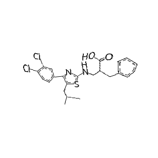 CC(C)Cc1sc(NCC(Cc2ccccc2)C(=O)O)nc1-c1ccc(Cl)c(Cl)c1